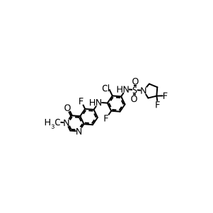 Cn1cnc2ccc(Nc3c(F)ccc(NS(=O)(=O)N4CCC(F)(F)C4)c3Cl)c(F)c2c1=O